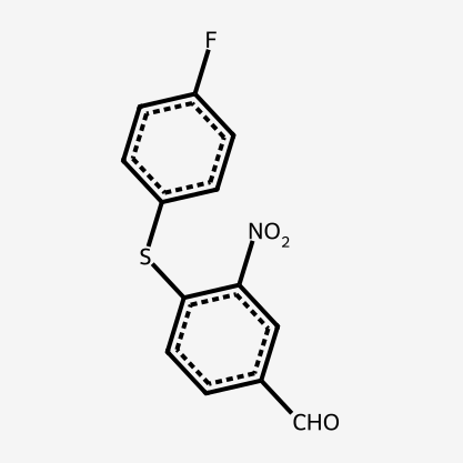 O=Cc1ccc(Sc2ccc(F)cc2)c([N+](=O)[O-])c1